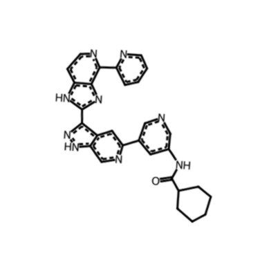 O=C(Nc1cncc(-c2cc3c(-c4nc5c(-c6ccccn6)nccc5[nH]4)n[nH]c3cn2)c1)C1CCCCC1